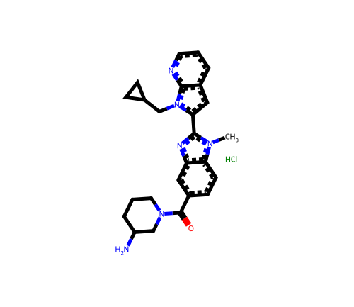 Cl.Cn1c(-c2cc3cccnc3n2CC2CC2)nc2cc(C(=O)N3CCCC(N)C3)ccc21